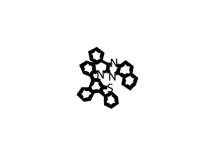 c1ccc(-c2nc3ccc4ccccc4c3nc2-n2c3ccccc3c3c4ccccc4c4c5ccccc5sc4c32)cc1